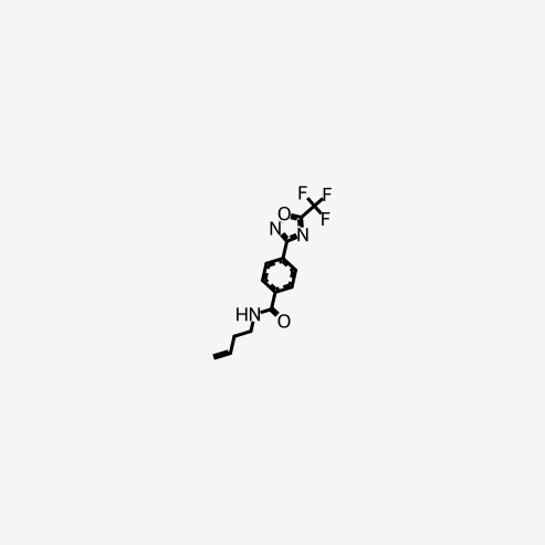 C=CCCNC(=O)c1ccc(-c2noc(C(F)(F)F)n2)cc1